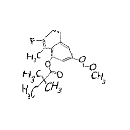 COCOc1cc(OC(=O)C(C)(C)C)c2c(C)c(F)ccc2c1